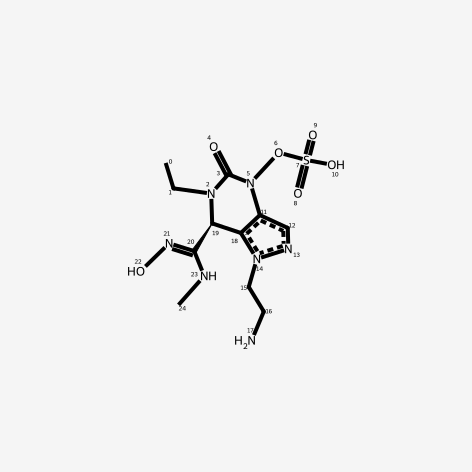 CCN1C(=O)N(OS(=O)(=O)O)c2cnn(CCN)c2[C@H]1/C(=N/O)NC